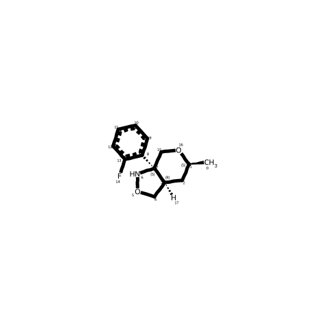 C[C@H]1C[C@H]2CON[C@@]2(c2ccccc2F)CO1